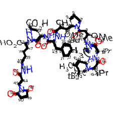 CC[C@H](C)[C@@H]([C@@H](CC(=O)N1CCC[C@H]1[C@H](OC)[C@@H](C)C(=O)NC(Cc1ccccc1)C(=O)N[C@@H](CCC(=O)O)C(=O)N[C@@H](CCCCNC(=O)CCN1C(=O)C=CC1=O)C(=O)O)OC)N(C)C(=O)[C@@H](NC(=O)[C@H](C(C)C)N(C)CCC(C)CC(C)(C)C)C(C)C